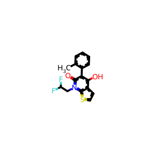 Cc1ccccc1-c1c(O)c2ccsc2n(CC(F)F)c1=O